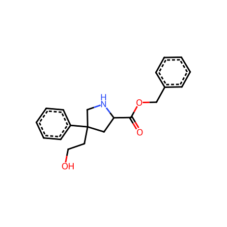 O=C(OCc1ccccc1)C1CC(CCO)(c2ccccc2)CN1